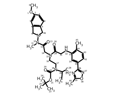 COc1ccc2c(c1)CN(N(C)C(=O)CN(CCN(C(=O)OC(C)(C)C)C(C)C)C(=O)CNc1cc(-c3noc(C)n3)ccc1C)C2